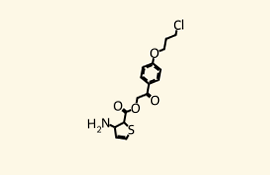 NC1C=CSC1C(=O)OCC(=O)c1ccc(OCCCCl)cc1